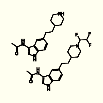 CC(=O)Nc1c[nH]c2ccc(CCC3CCN(C(F)C(F)F)CC3)cc12.CC(=O)Nc1c[nH]c2ccc(CCC3CCNCC3)cc12